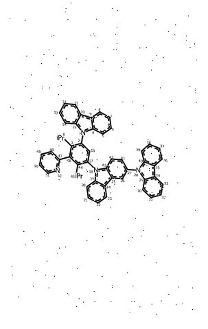 CC(C)c1c(-n2c3ccccc3c3ccccc32)cc(-n2c3ccccc3c3cc(-n4c5ccccc5c5ccccc54)ccc32)c(C(C)C)c1-c1ccccn1